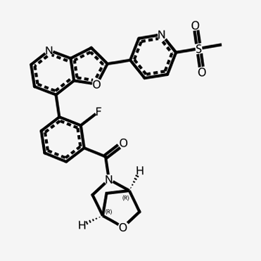 CS(=O)(=O)c1ccc(-c2cc3nccc(-c4cccc(C(=O)N5C[C@H]6C[C@@H]5CO6)c4F)c3o2)cn1